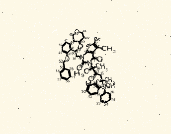 Cc1c(Br)sc2c1c(=O)n(C(C)(C)C(=O)CC(C)(C)[Si](O)(c1ccccc1)c1ccccc1)c(=O)n2C[C@H](OC1CCOCC1)c1ccccc1OCc1ccccc1